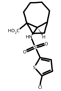 O=C(O)C12CCCCC(CC1)[C@H]2NS(=O)(=O)c1ccc(Cl)s1